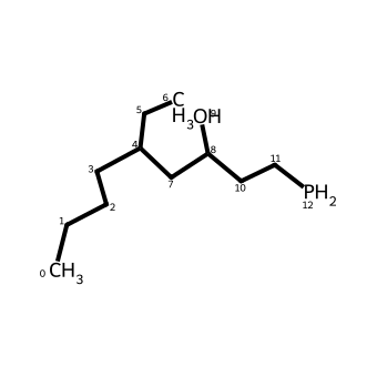 CCCCC(CC)CC(O)CCP